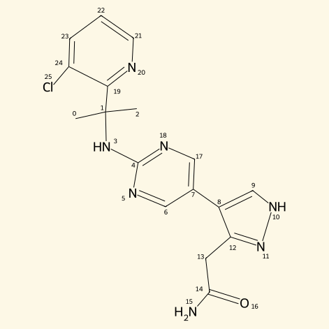 CC(C)(Nc1ncc(-c2c[nH]nc2CC(N)=O)cn1)c1ncccc1Cl